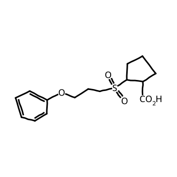 O=C(O)C1CCCC1S(=O)(=O)CCCOc1ccccc1